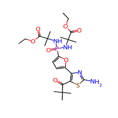 CCOC(=O)C(C)(C)NP(=O)(NC(C)(C)C(=O)OCC)c1ccc(-c2nc(N)sc2C(=O)C(C)(C)C)o1